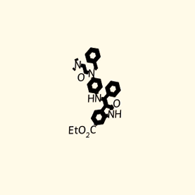 CCOC(=O)c1ccc2c(c1)NC(=O)/C2=C(/Nc1ccc(N(Cc2ccccc2)C(=O)CN(C)C)cc1)c1ccccc1